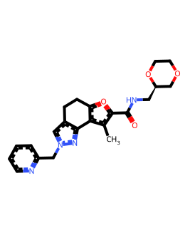 Cc1c(C(=O)NC[C@@H]2COCCO2)oc2c1-c1nn(Cc3ccccn3)cc1CC2